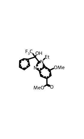 CCn1c(C(O)(c2ccccc2)C(F)(F)F)nc2cc(C(=O)OC)cc(OC)c21